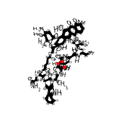 COc1cccc2c1C(=O)c1c(O)c3c(c(O)c1C2=O)C[C@@](O)(C(=O)COC(=O)CCCC(=O)N[C@@H](CCC(N)=O)C(=O)N[C@@H](Cc1c[nH]c2ccccc12)C(=O)N[C@@H](C)C(=O)N[C@H](C(=O)NCC(=O)N[C@@H](Cc1cnc[nH]1)C(=O)N[C@H](CN[C@@H](CC(C)C)C(N)=O)CC(C)C)C(C)C)C[C@@H]3O[C@H]1C[C@H](N)[C@H](O)[C@H](C)O1